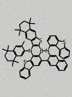 Cc1cc2c(cc1N1c3c(sc4cc5c(cc34)C(C)(C)CCC5(C)C)B3c4c(cc5c(sc6ccccc65)c41)-c1cc4ccccc4cc1N3c1cccc3sc4ccccc4c13)C(C)(C)CCC2(C)C